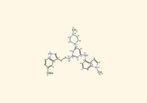 COc1ccc2[nH]cc(CCNc3nc(Nc4cccc5c4ccn5C)cc(N4CCN(C)CC4)n3)c2c1